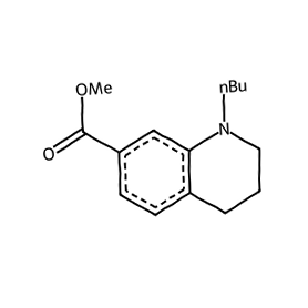 CCCCN1CCCc2ccc(C(=O)OC)cc21